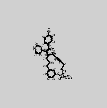 CC(C)(C)[Si](C)(C)OCCC#Cc1sc(-c2ccc(F)cc2)c(-c2ccncc2)c1CCCc1ccccc1